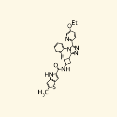 CCOc1ccc(-c2nnc(C3CC(NC(=O)c4cc5sc(C)cc5[nH]4)C3)n2-c2ccccc2F)nc1